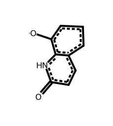 [O]c1cccc2ccc(=O)[nH]c12